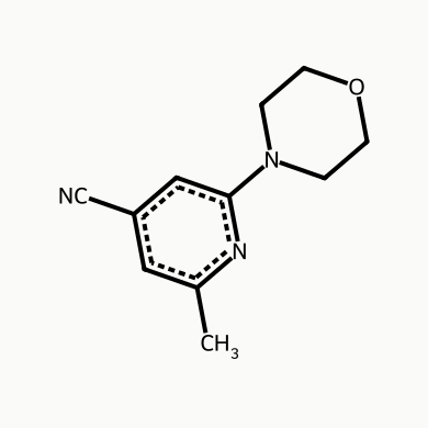 Cc1cc(C#N)cc(N2CCOCC2)n1